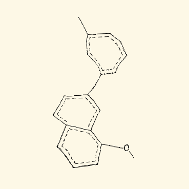 COc1cccc2ccc(-c3cccc(C)c3)cc12